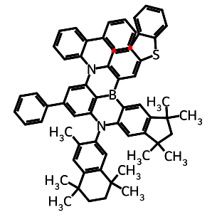 Cc1cc2c(cc1N1c3cc4c(cc3B3c5cc6sc7ccccc7c6cc5N(c5ccccc5-c5ccccc5)c5cc(-c6ccccc6)cc1c53)C(C)(C)CC4(C)C)C(C)(C)CCC2(C)C